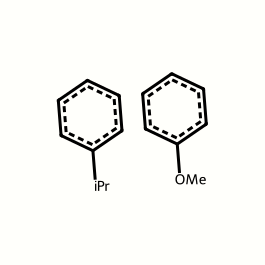 CC(C)c1ccccc1.COc1ccccc1